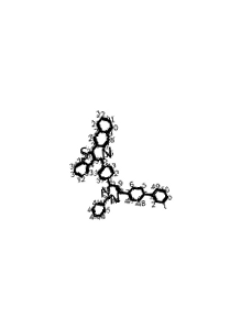 c1ccc(-c2ccc(-c3cc(-c4ccc(-c5nc6cc7ccccc7cc6c6sc7ccccc7c56)cc4)nc(-c4ccccc4)n3)cc2)cc1